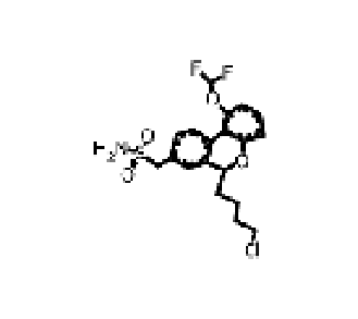 NS(=O)(=O)Cc1ccc2c(c1)C(CCCCCl)Oc1cccc(OC(F)F)c1-2